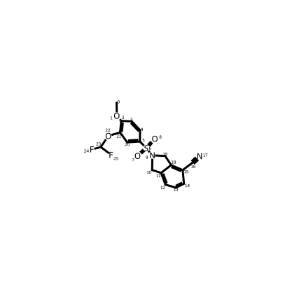 COc1ccc(S(=O)(=O)N2Cc3cccc(C#N)c3C2)cc1OC(F)F